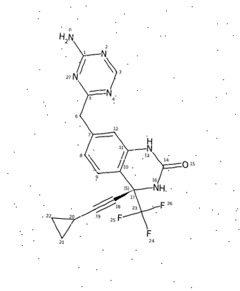 Nc1ncnc(Cc2ccc3c(c2)NC(=O)N[C@]3(C#CC2CC2)C(F)(F)F)n1